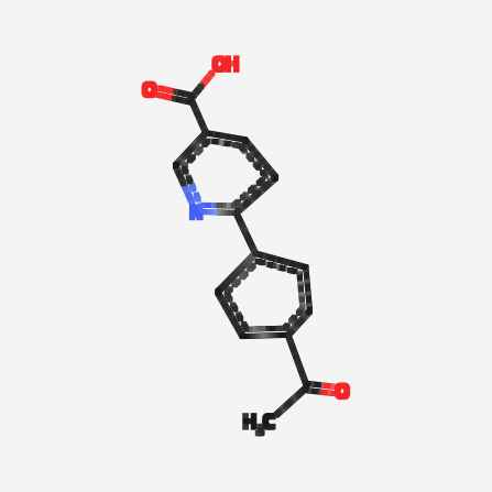 CC(=O)c1ccc(-c2ccc(C(=O)O)cn2)cc1